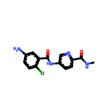 CNC(=O)c1ccc(NC(=O)c2cc(N)ccc2Cl)cn1